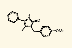 COc1ccc(Cc2c(C)n(-c3ccccc3)[nH]c2=O)cc1